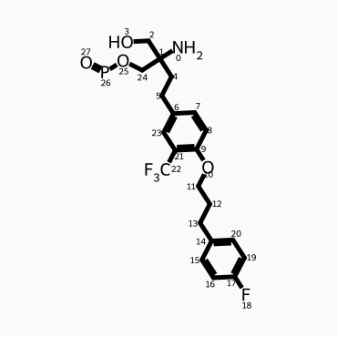 NC(CO)(CCc1ccc(OCCCc2ccc(F)cc2)c(C(F)(F)F)c1)COP=O